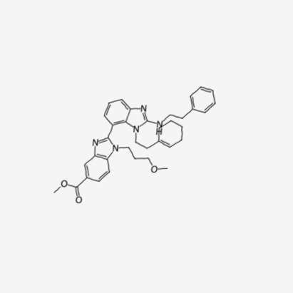 COCCCn1c(-c2cccc3nc(NCCc4ccccc4)n(CCC4=CCCCC4)c23)nc2cc(C(=O)OC)ccc21